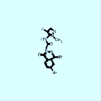 CC(C)c1nn(CC(=O)Nc2c(F)cnn2C)c(=O)c2ccc(Br)cc12